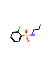 CCCNS(=O)(=O)c1ccccc1Cl